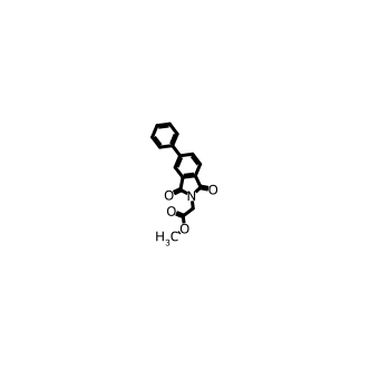 COC(=O)CN1C(=O)c2ccc(-c3ccccc3)cc2C1=O